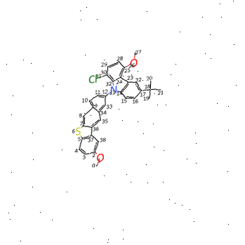 COc1ccc2sc3cc4ccc(-n5c6ccc(C(C)(C)C)cc6c6c(OC)ccc(Cl)c65)cc4cc3c2c1